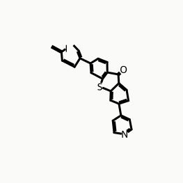 C=C(I)/C=C\C(=C/C)c1ccc2c(=O)c3ccc(-c4ccncc4)cc3sc2c1